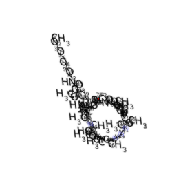 COCCOCCOCCOCCNC(=O)O[C@@H]1CC[C@@H](C[C@@H](N)[C@@H]2CC(N=[N+]=[N-])[C@H](C)/C=C(\C)[C@@H](O)[C@@H](OC)C(=O)[C@H](C)C[C@H](C)/C=C/C=C/C=C(\C)[C@@H](OC)C[C@@H]3CC[C@@H](C)[C@@](O)(O3)C(=O)C(=O)N3CCCC[C@H]3C(=O)O2)C[C@H]1OC